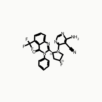 N#Cc1c(N)ncnc1N1C[C@@H](F)C[C@H]1c1nc2cccc(C(F)(F)F)c2c(=O)n1-c1ccccc1